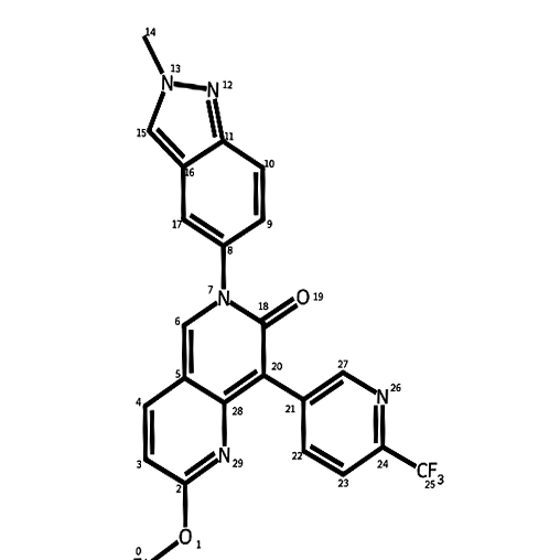 CCOc1ccc2cn(-c3ccc4nn(C)cc4c3)c(=O)c(-c3ccc(C(F)(F)F)nc3)c2n1